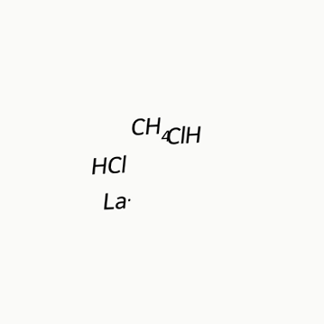 C.Cl.Cl.[La]